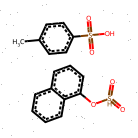 Cc1ccc(S(=O)(=O)O)cc1.O=[SH](=O)Oc1cccc2ccccc12